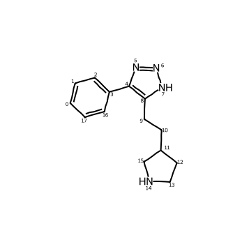 c1ccc(-c2nn[nH]c2CCC2CCNC2)cc1